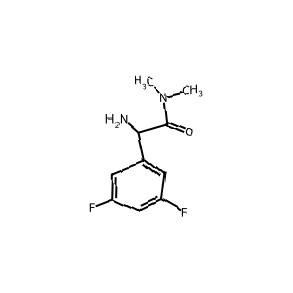 CN(C)C(=O)C(N)c1cc(F)cc(F)c1